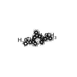 CC1(C)c2ccccc2-c2cc3c(cc21)N(c1ccc2c4ccccc4c4ccc(-n5c6ccccc6c6cc7c(cc65)C(C)(C)c5ccccc5-7)cc4c2c1)C1C=CC=CC31